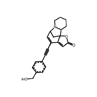 O=C1C=C2C(C#Cc3ccc(CO)cc3)=CC3CC2(O1)C1CCCCN31